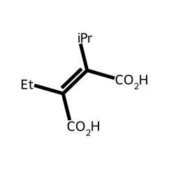 CCC(C(=O)O)=C(C(=O)O)C(C)C